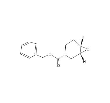 O=C(OCc1ccccc1)[C@@H]1CC[C@@H]2O[C@@H]2C1